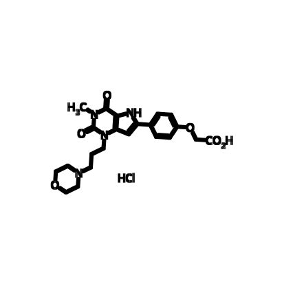 Cl.Cn1c(=O)c2[nH]c(-c3ccc(OCC(=O)O)cc3)cc2n(CCCN2CCOCC2)c1=O